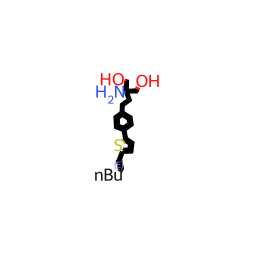 CCCC/C=C/c1ccc(-c2ccc(CCC(N)(CO)CO)cc2)s1